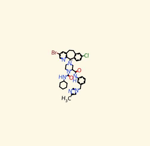 Cc1cn(Cc2cccc(NC(=O)C3CN([C@@H]4c5ccc(Cl)cc5CCc5cc(Br)cnc54)CCN3C(=O)NC3CCCCC3)c2)cn1